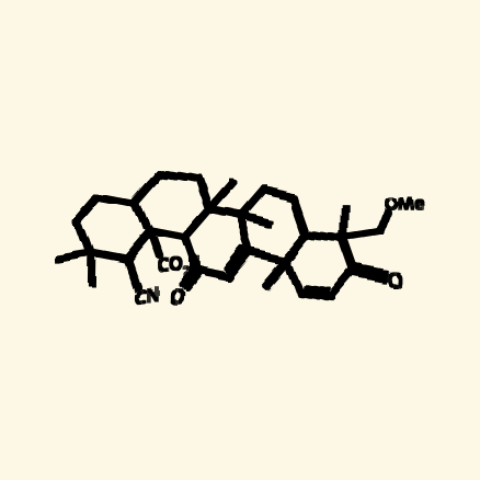 COCC1(C)C(=O)C=CC2(C)C3=CC(=O)C4C5(C(=O)O)C(CCC(C)(C)C5C#N)CCC4(C)C3(C)CCC21